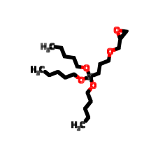 CCCCCO[Si](CCCOCC1CO1)(OCCCCC)OCCCCC